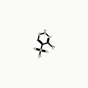 CCS(=O)(=O)C1=C[N]NN=C1C(C)C